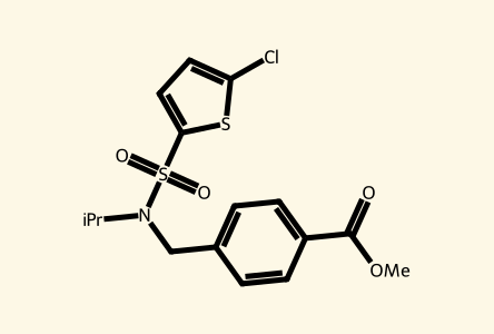 COC(=O)c1ccc(CN(C(C)C)S(=O)(=O)c2ccc(Cl)s2)cc1